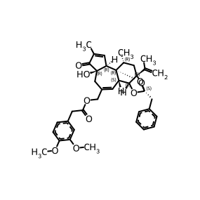 C=C(C)[C@]12C[C@@H](C)[C@@]34O[C@](Cc5ccccc5)(O[C@@H]1[C@@H]3C=C(COC(=O)Cc1ccc(OC)c(OC)c1)C[C@]1(O)C(=O)C(C)=C[C@@H]41)O2